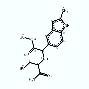 Cc1cc2cc(C(NC(CC(C)C)C(N)=O)C(=O)OC(C)(C)C)ccc2[nH]1